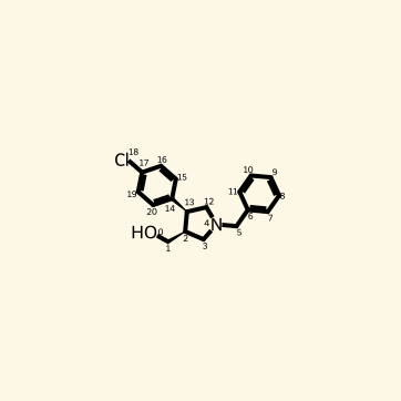 OC[C@@H]1CN(Cc2ccccc2)C[C@@H]1c1ccc(Cl)cc1